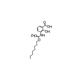 CCCCCCCCOC(=O)Nc1cccc(C(=O)O)c1O.[Zn]